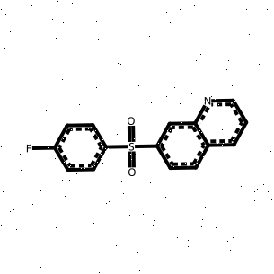 O=S(=O)(c1ccc(F)cc1)c1ccc2cccnc2c1